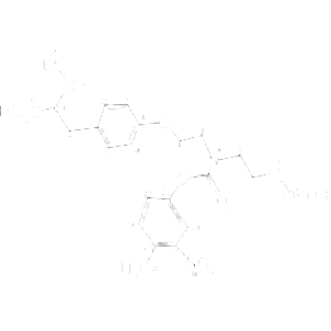 CCCCCOCCN(CCOc1ccc(CC(OCC)C(=O)O)cc1)C(=O)Oc1ccc(C)c([N+](=O)[O-])c1